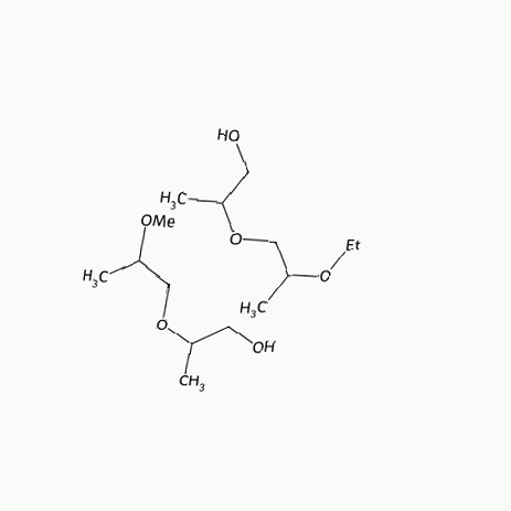 CCOC(C)COC(C)CO.COC(C)COC(C)CO